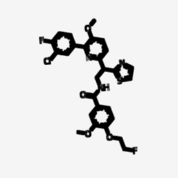 COc1cc(C(=O)NCC(c2ccc(OC)c(-c3ccc(F)c(Cl)c3)n2)c2nccs2)ccc1OCCF